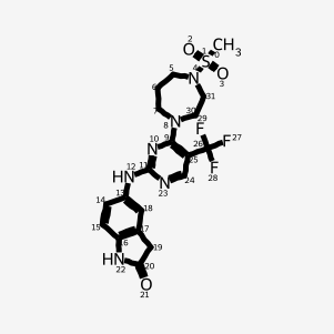 CS(=O)(=O)N1CCCN(c2nc(Nc3ccc4c(c3)CC(=O)N4)ncc2C(F)(F)F)CC1